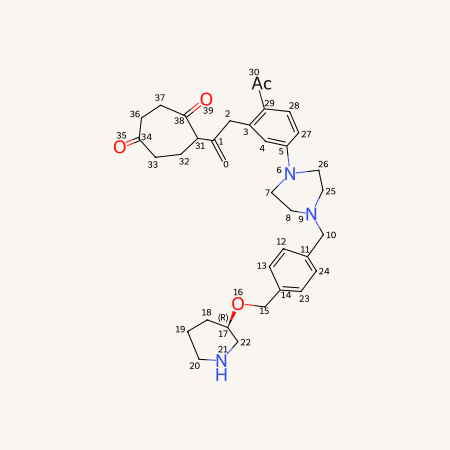 C=C(Cc1cc(N2CCN(Cc3ccc(CO[C@@H]4CCCNC4)cc3)CC2)ccc1C(C)=O)C1CCC(=O)CCC1=O